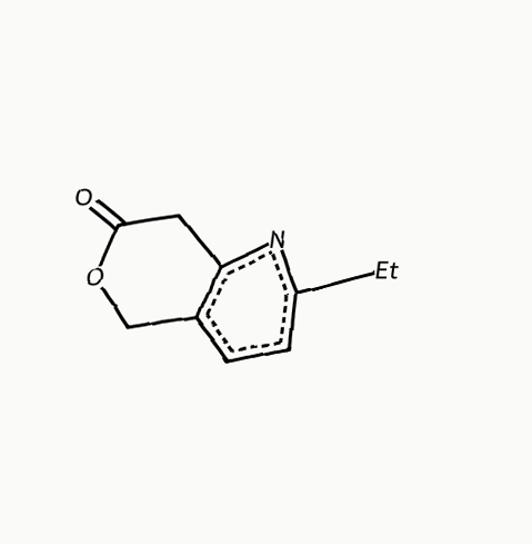 CCc1ccc2c(n1)CC(=O)OC2